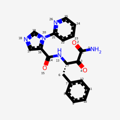 NC(=O)C(=O)[C@H](Cc1ccccc1)NC(=O)c1cncn1-c1ccccn1